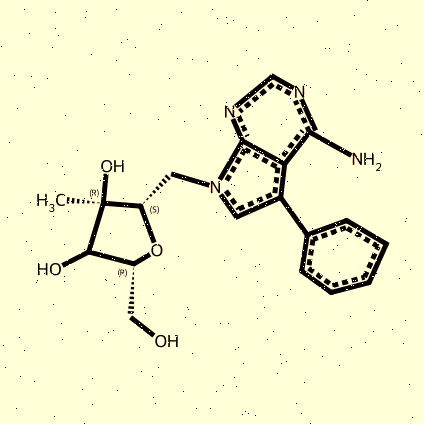 C[C@@]1(O)C(O)[C@@H](CO)O[C@H]1Cn1cc(-c2ccccc2)c2c(N)ncnc21